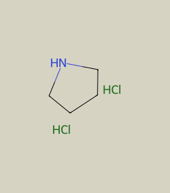 C1CCNC1.Cl.Cl